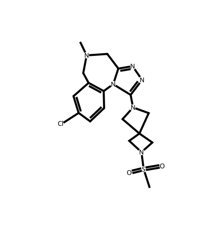 CN1Cc2cc(Cl)ccc2-n2c(nnc2N2CC3(C2)CN(S(C)(=O)=O)C3)C1